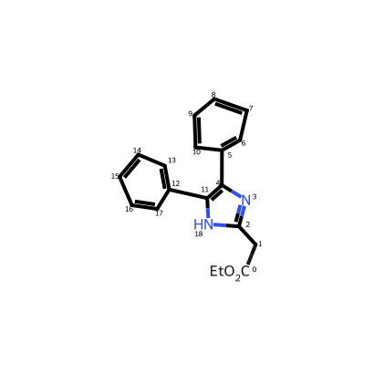 CCOC(=O)Cc1nc(-c2ccccc2)c(-c2ccccc2)[nH]1